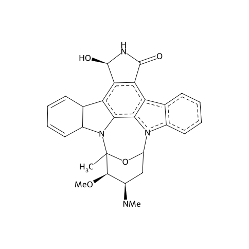 CN[C@@H]1CC2OC(C)([C@@H]1OC)N1c3c(c4c(c5c6ccccc6n2c35)C(=O)N[C@@H]4O)C2C=CC=CC21